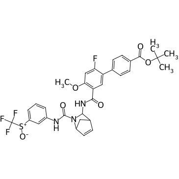 COc1cc(F)c(-c2ccc(C(=O)OC(C)(C)C)cc2)cc1C(=O)NC1C2C=CC(C2)N1C(=O)Nc1cccc([S+]([O-])C(F)(F)F)c1